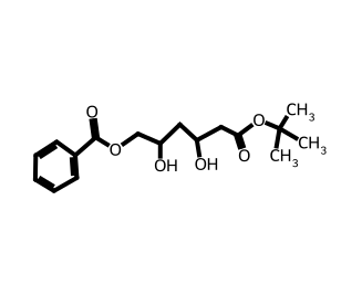 CC(C)(C)OC(=O)CC(O)CC(O)COC(=O)c1ccccc1